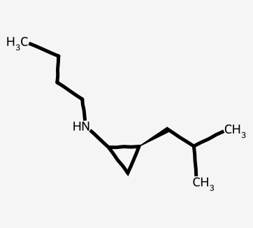 CCCCNC1C[C@@H]1CC(C)C